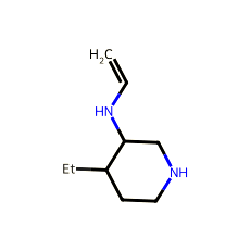 C=CNC1CNCCC1CC